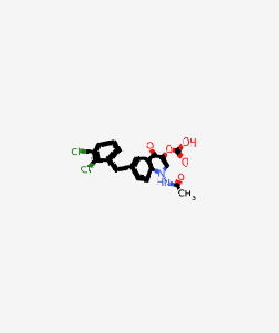 CC(=O)Nn1cc(OC(=O)O)c(=O)c2cc(Cc3cccc(Cl)c3Cl)ccc21